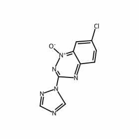 [O-][n+]1nc(-n2cncn2)nc2ccc(Cl)cc21